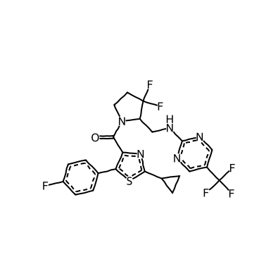 O=C(c1nc(C2CC2)sc1-c1ccc(F)cc1)N1CCC(F)(F)C1CNc1ncc(C(F)(F)F)cn1